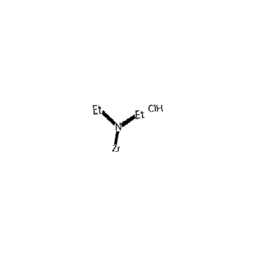 CC[N]([Zr])CC.Cl